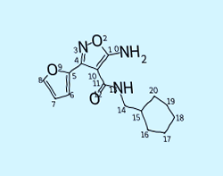 Nc1onc(-c2ccco2)c1C(=O)NCC1CCCCC1